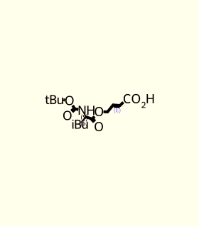 CC[C@H](C)[C@H](NC(=O)OC(C)(C)C)C(=O)OC/C=C/C(=O)O